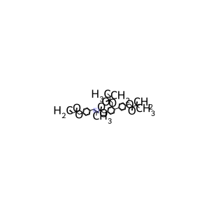 C=CC(=O)Oc1ccc(/C=C(\C)C(=O)Oc2ccc(-c3ccc(OC(=O)C(=C)C)cc3)c(OC(=O)C(=C)C)c2)cc1